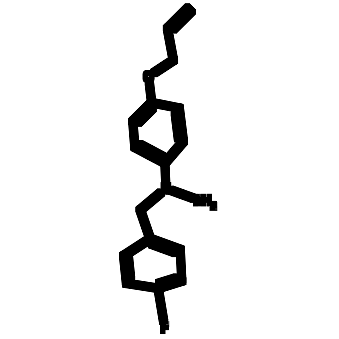 C=CCOc1ccc(N(N)Cc2ccc(F)cc2)cc1